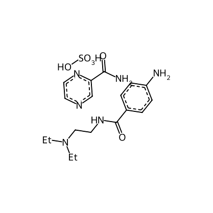 CCN(CC)CCNC(=O)c1ccc(N)cc1.NC(=O)c1cnccn1.O=S(=O)(O)O